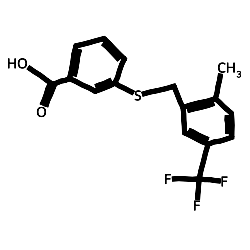 Cc1ccc(C(F)(F)F)cc1CSc1cccc(C(=O)O)c1